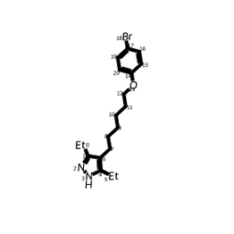 CCc1n[nH]c(CC)c1CCCCCCOc1ccc(Br)cc1